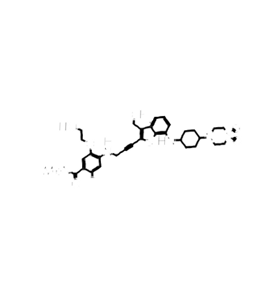 CNC(=O)c1cc(OCCO)c(NCC#Cc2sc3c(NC4CCC(N5CCS(=O)(=O)CC5)CC4)cccc3c2CC(F)(F)F)cc1F